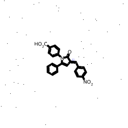 O=C(O)c1ccc(N2C(=O)/C(=C/c3ccc([N+](=O)[O-])cc3)C=C2c2ccccc2)cc1